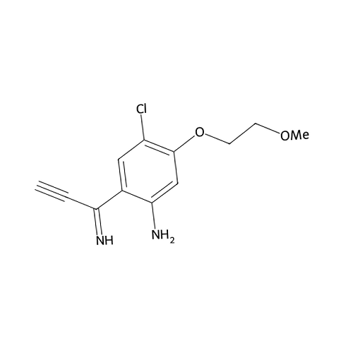 C#CC(=N)c1cc(Cl)c(OCCOC)cc1N